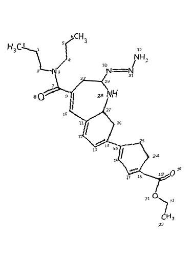 CCCN(CCC)C(=O)C1=CC2=CC=C(C3=CC=C(C(=O)OCC)CC3)CC2NC(N=NN)C1